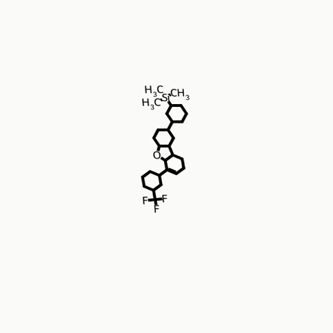 C[Si](C)(C)C1CCCC(C2CCC3OC4C(C5CCCC(C(F)(F)F)C5)=CCCC4C3C2)C1